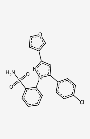 NS(=O)(=O)c1ccccc1-n1nc(-c2ccoc2)cc1-c1ccc(Cl)cc1